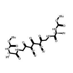 CC(C)[C@H](NC(=O)OC(C)(C)C)C(=O)NCC(=O)C(=[N+]=[N-])C(=O)C(=[N+]=[N-])C(=O)CNC(=O)[C@@H](NC(=O)OC(C)(C)C)C(C)C